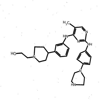 Cc1cnc(Nc2ccc(N3CCNCC3)cc2)nc1Nc1cccc(C2CCN(CCO)CC2)c1